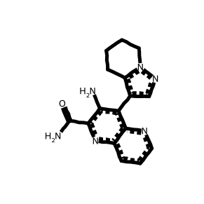 NC(=O)c1nc2cccnc2c(-c2cnn3c2CCCC3)c1N